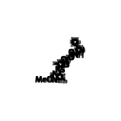 COc1cnc2c(-c3nc4c(C)cc5c(c4s3)OCC(COC(=O)Nc3cncc(-c4ccccc4)c3)O5)cc(C)cc2n1